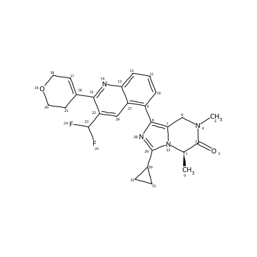 C[C@@H]1C(=O)N(C)Cc2c(-c3cccc4nc(C5=CCOCC5)c(C(F)F)cc34)nc(C3CC3)n21